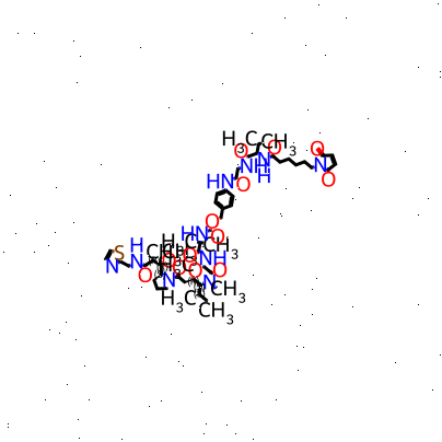 CC[C@H](C)[C@@H]([C@@H](CC(=O)N1CCC[C@H]1[C@H](OC)[C@@H](C)C(=O)NCc1nccs1)OC)N(C)C(=O)CNC(=O)C(C)(C)NC(=O)OCc1ccc(NC(=O)CNC(=O)C(NC(=O)CCCCCN2C(=O)C=CC2=O)C(C)C)cc1